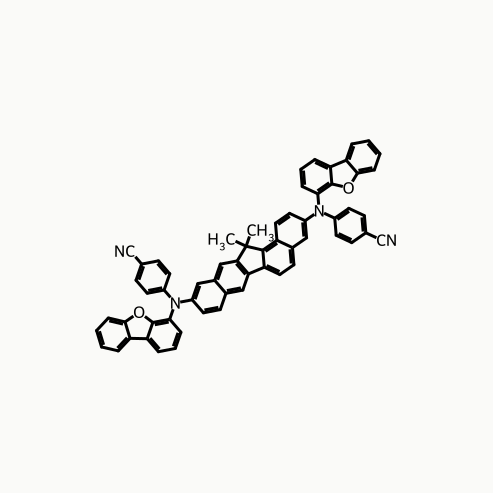 CC1(C)c2cc3cc(N(c4ccc(C#N)cc4)c4cccc5c4oc4ccccc45)ccc3cc2-c2ccc3cc(N(c4ccc(C#N)cc4)c4cccc5c4oc4ccccc45)ccc3c21